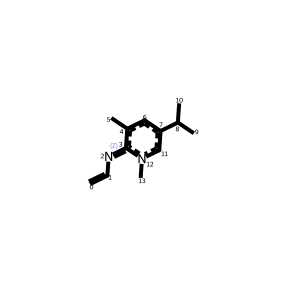 C=C/N=c1/c(C)cc(C(C)C)cn1C